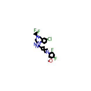 COc1cc(N2CC3(CC(c4nnc5n4-c4ccc(Cl)cc4CN(C4CC4(F)F)C5)C3)C2)c(F)cc1F